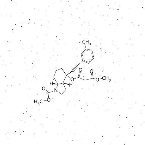 COC(=O)CC(=O)O[C@@]1(C#Cc2cccc(C)c2)CCC[C@@H]2[C@H]1CCN2C(=O)OC